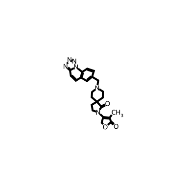 CC1=C(N2CCC3(CCN(Cc4ccc5c(ccc6nnnn65)c4)CC3)C2=O)COC1=O